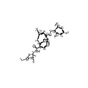 CCCC(C)(CNC(=O)c1cnn2c(OCc3c(F)cccc3F)cc(C)cc12)NC